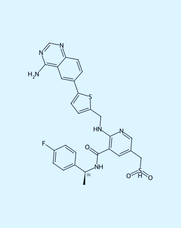 C[C@H](NC(=O)c1cc(C[SH](=O)=O)cnc1NCc1ccc(-c2ccc3ncnc(N)c3c2)s1)c1ccc(F)cc1